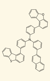 c1cc(-c2ccc3ccccc3c2)cc(N(c2cccc(-c3cccc4oc5ccccc5c34)c2)c2cccc(-c3cccc4sc5ccccc5c34)c2)c1